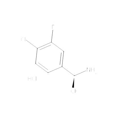 Cl.N[C@H](c1ccc(Cl)c(F)c1)C(F)(F)F